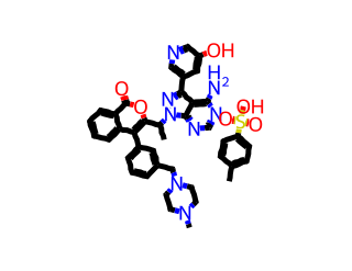 CC(c1oc(=O)c2ccccc2c1-c1cccc(CN2CCN(C)CC2)c1)n1nc(-c2cncc(O)c2)c2c(N)ncnc21.Cc1ccc(S(=O)(=O)O)cc1